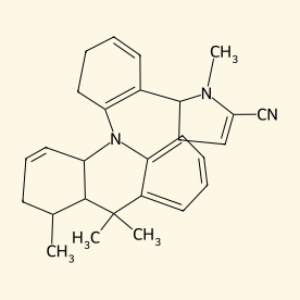 CC1CC=CC2C1C(C)(C)c1ccccc1N2C1=C(C2CC=C(C#N)N2C)C=CCC1